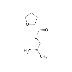 C=C(C)COC(=O)[C@H]1CCCO1